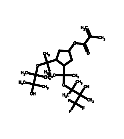 C=C(C)C(=O)OC1CC(C(C)(C)OC(C)(C)C(C)(C)O)C(C(C)(C)OC(C)(C)C(C)(O)C(F)(F)F)C1